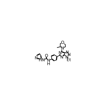 CCn1nnc2c(N3CCOCC3C)nc(-c3ccc(NC(=O)Nc4cccnc4)cc3)nc21